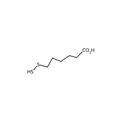 O=C(O)CCCCCSS